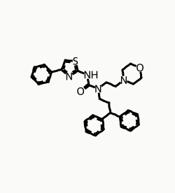 O=C(Nc1nc(-c2ccccc2)cs1)N(CCC(c1ccccc1)c1ccccc1)CCN1CCOCC1